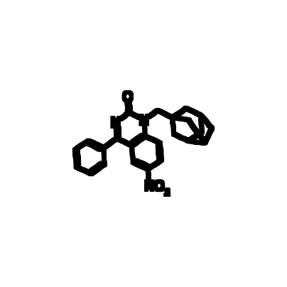 O=c1nc(-c2ccccc2)c2cc([N+](=O)[O-])ccc2n1CC12CC3CC(C1)C(C3)C2